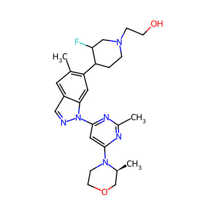 Cc1nc(N2CCOC[C@@H]2C)cc(-n2ncc3cc(C)c(C4CCN(CCO)CC4F)cc32)n1